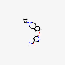 CCNC(=O)c1ccc(Oc2ccc3c(c2)CCN(C2CCC2)CC3)nc1